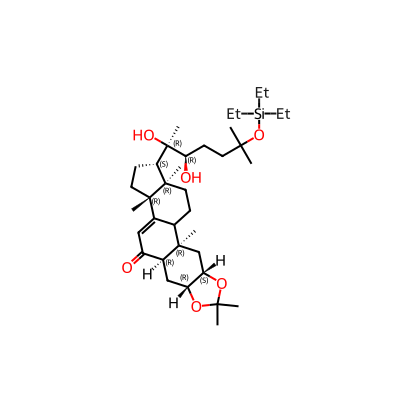 CC[Si](CC)(CC)OC(C)(C)CC[C@@H](O)[C@](C)(O)[C@H]1CC[C@@]2(C)C3=CC(=O)[C@@H]4C[C@H]5OC(C)(C)O[C@H]5C[C@]4(C)C3CC[C@]12C